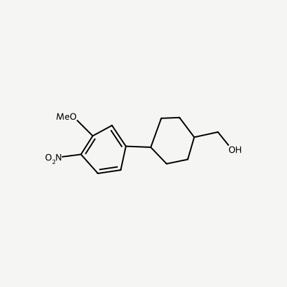 COc1cc(C2CCC(CO)CC2)ccc1[N+](=O)[O-]